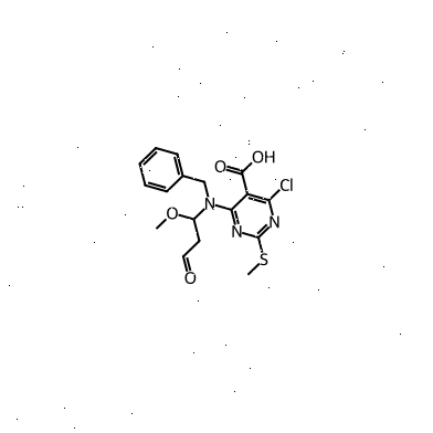 COC(CC=O)N(Cc1ccccc1)c1nc(SC)nc(Cl)c1C(=O)O